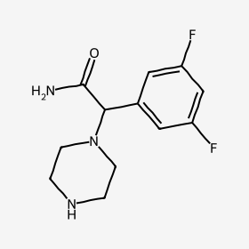 NC(=O)C(c1cc(F)cc(F)c1)N1CCNCC1